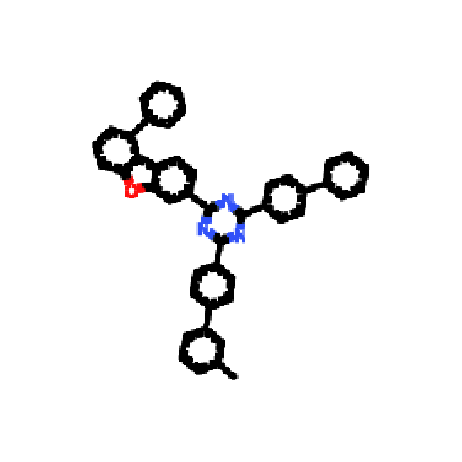 Cc1cccc(-c2ccc(-c3nc(-c4ccc(-c5ccccc5)cc4)nc(-c4ccc5c(c4)oc4cccc(-c6ccccc6)c45)n3)cc2)c1